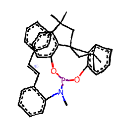 CN(c1ccccc1/C=C/c1ccccc1)P1Oc2cccc3c2C2(CC3(C)C)CC(C)(C)c3cccc(c32)O1